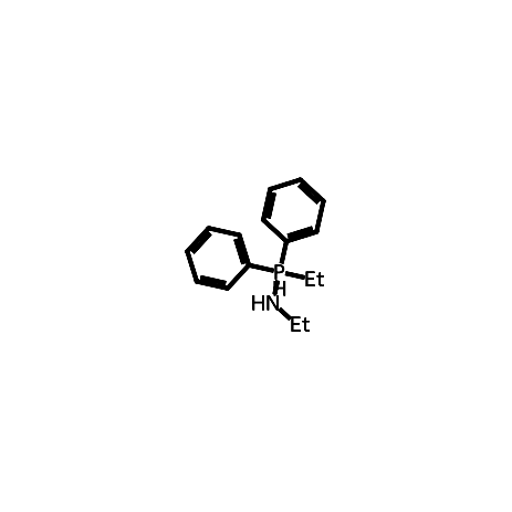 CCN[PH](CC)(c1ccccc1)c1ccccc1